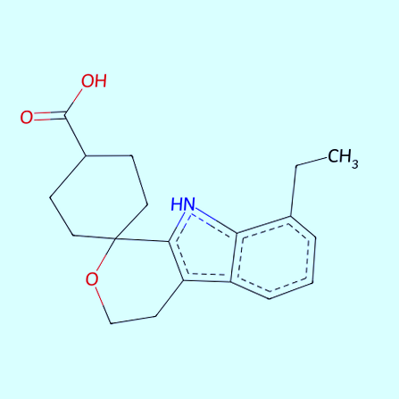 CCc1cccc2c3c([nH]c12)C1(CCC(C(=O)O)CC1)OCC3